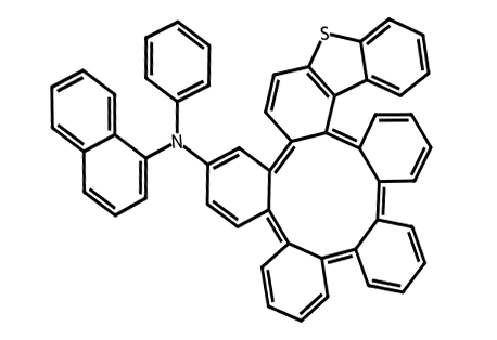 c1ccc(N(c2ccc3c4ccccc4c4ccccc4c4ccccc4c4c(ccc5sc6ccccc6c54)c3c2)c2cccc3ccccc23)cc1